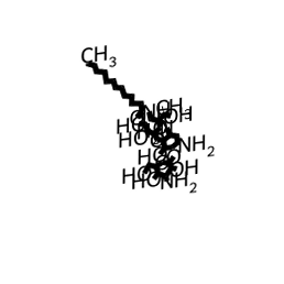 CCCCCCCCCCCCCC(=O)NCC(OC(OC1C(N)C[C@H](N)C(OC2OC(CO)C(O)C(N)C2O)C1O)[C@@H](O)CO)[C@H](C)O